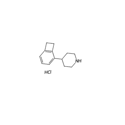 Cl.c1cc2c(c(C3CCNCC3)c1)CC2